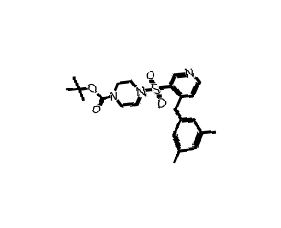 Cc1cc(C)cc(Cc2ccncc2S(=O)(=O)N2CCN(C(=O)OC(C)(C)C)CC2)c1